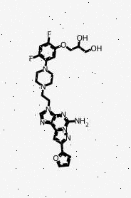 Nc1nc2c(ncn2CCN2CCN(c3cc(OCC(O)CO)c(F)cc3F)CC2)c2cc(-c3ccco3)nn12